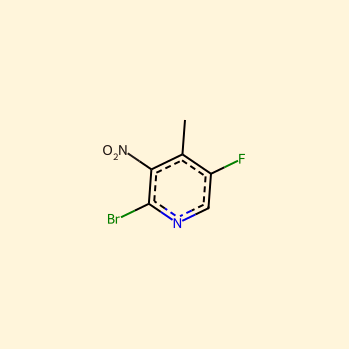 Cc1c(F)cnc(Br)c1[N+](=O)[O-]